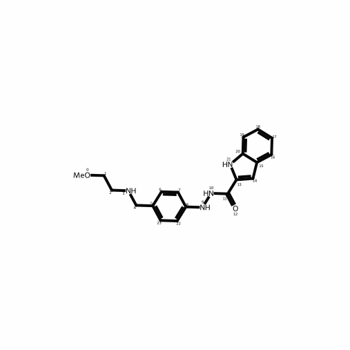 COCCNCc1ccc(NNC(=O)c2cc3ccccc3[nH]2)cc1